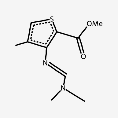 COC(=O)c1scc(C)c1/N=C/N(C)C